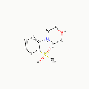 O=S(=O)(C1CC=CC=C1N1CCOCC1)C(F)(F)F